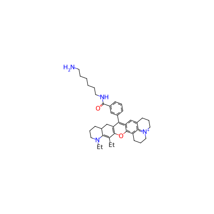 CCC1=C2C(CCCN2CC)CC2=C1Oc1c3c4c(cc1=C2c1cccc(C(=O)NCCCCCCN)c1)CCC[N+]=4CCC3